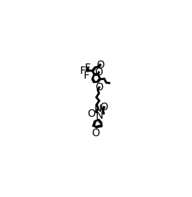 CCCc1c(OCCCCCN2C(=O)CN(c3ccc(OC)cc3)C2=O)ccc2c(C(F)(F)F)cc(=O)oc12